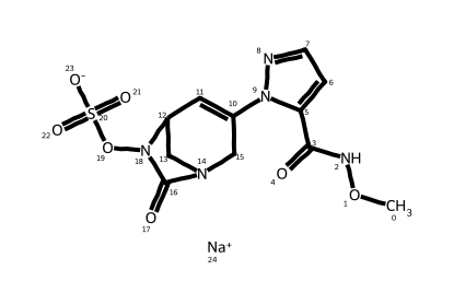 CONC(=O)c1ccnn1C1=CC2CN(C1)C(=O)N2OS(=O)(=O)[O-].[Na+]